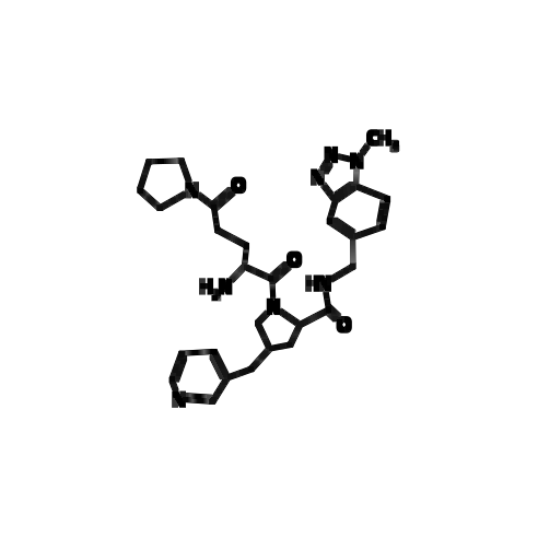 Cn1nnc2cc(CNC(=O)C3CC(Cc4cccnc4)CN3C(=O)C(N)CCC(=O)N3CCCC3)ccc21